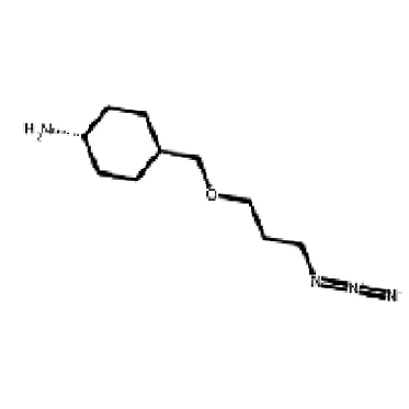 [N-]=[N+]=NCCCOC[C@H]1CC[C@H](N)CC1